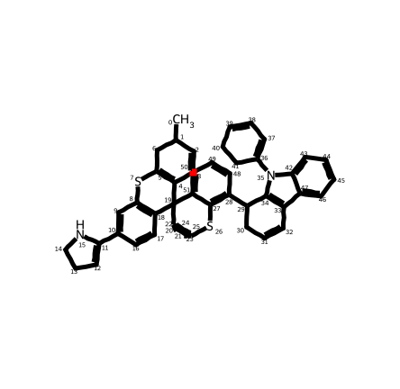 CC1C=CC2=C(C1)Sc1cc(C3=CCCN3)ccc1C21c2ccccc2Sc2c(C3CC=Cc4c3n(C3=CC=CCC3)c3ccccc43)cccc21